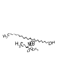 CCC=C(N=C=O)C(=O)OC.CCCCCCCCCCCCCCCCCCCCCCO